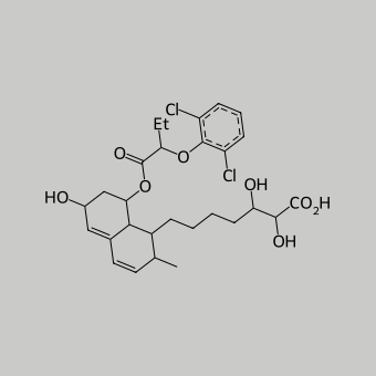 CCC(Oc1c(Cl)cccc1Cl)C(=O)OC1CC(O)C=C2C=CC(C)C(CCCCC(O)C(O)C(=O)O)C21